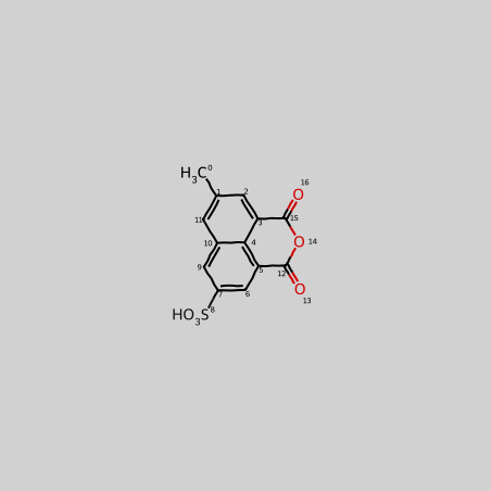 Cc1cc2c3c(cc(S(=O)(=O)O)cc3c1)C(=O)OC2=O